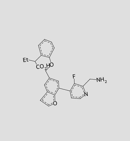 CCC(C(=O)O)c1ccccc1OCc1cc(-c2ccnc(CN)c2F)c2occc2c1